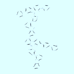 c1ccc(-c2ccc(-c3ccc4c5c(-c6ccc7sc8c(-c9ccnc(-n%10c%11cc(-c%12ccccc%12)ccc%11c%11ccc(-c%12ccccc%12)cc%11%10)n9)cccc8c7c6)cccc5n(-c5nccc(-c6cccc7c6sc6ccccc67)n5)c4c3)cc2)cc1